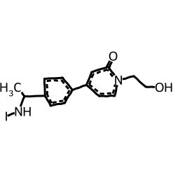 CC(NI)c1ccc(-c2ccn(CCO)c(=O)c2)cc1